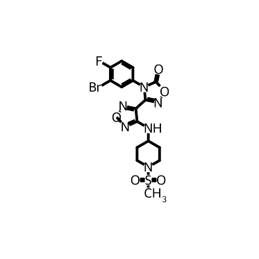 CS(=O)(=O)N1CCC(Nc2nonc2-c2noc(=O)n2-c2ccc(F)c(Br)c2)CC1